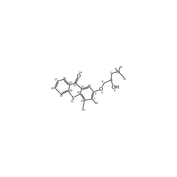 Cc1c(OCC(O)CN(C)C)cc2c(=O)c3ccccc3sc2c1C